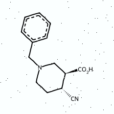 N#C[C@@H]1CCN(Cc2ccccc2)C[C@H]1C(=O)O